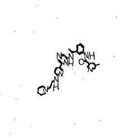 Cc1cncc(C(=O)Nc2cccc(C(C)Nc3cncc(-c4ccc(NCCN5CCCCC5)nc4)n3)c2)c1